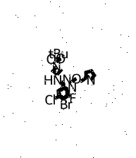 CN1CCCC1COc1nc(NC2CN(C(=O)OC(C)(C)C)C2)c2cc(Cl)c(Br)c(F)c2n1